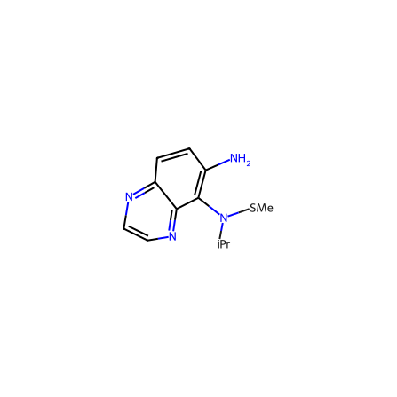 CSN(c1c(N)ccc2nccnc12)C(C)C